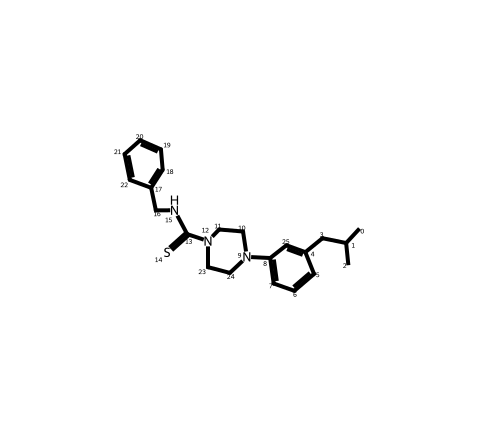 CC(C)Cc1cccc(N2CCN(C(=S)NCc3ccccc3)CC2)c1